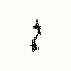 Cc1nn(C(C)(C)C(=O)Nc2ccc(C#N)cc2C2CC2)cc1C#CC1CN(c2ccc3c(c2)C(=O)N(C2CCC(=O)NC2=O)C3=O)C1